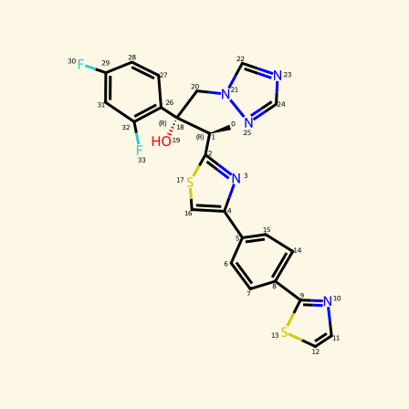 C[C@@H](c1nc(-c2ccc(-c3nccs3)cc2)cs1)[C@](O)(Cn1cncn1)c1ccc(F)cc1F